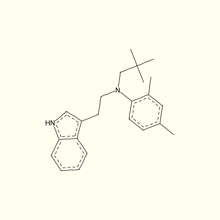 Cc1ccc(N(CCc2c[nH]c3ccccc23)CC(C)(C)C)c(C)c1